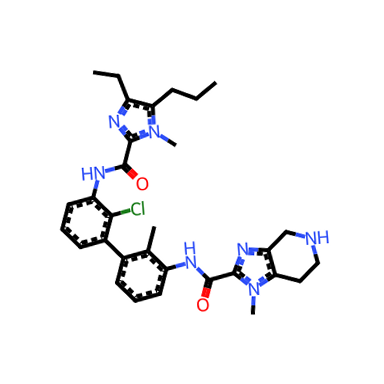 CCCc1c(CC)nc(C(=O)Nc2cccc(-c3cccc(NC(=O)c4nc5c(n4C)CCNC5)c3C)c2Cl)n1C